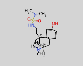 C[C@H]1[C@H]2Cc3ccc(O)cc3[C@@]1(CCNS(=O)(=O)N(C)C)CCN2C